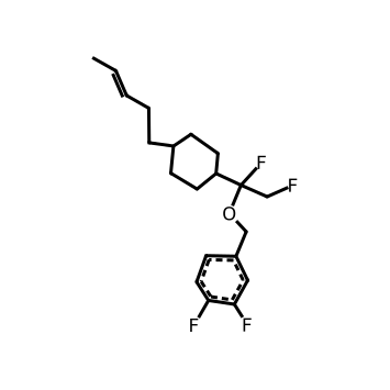 C/C=C/CCC1CCC(C(F)(CF)OCc2ccc(F)c(F)c2)CC1